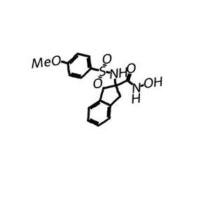 COc1ccc(S(=O)(=O)NC2(C(=O)NO)Cc3ccccc3C2)cc1